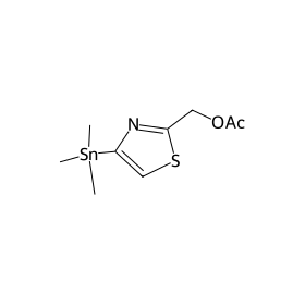 CC(=O)OCc1n[c]([Sn]([CH3])([CH3])[CH3])cs1